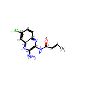 CC=CC(=O)Nc1nc2ccc(Cl)cc2nc1N